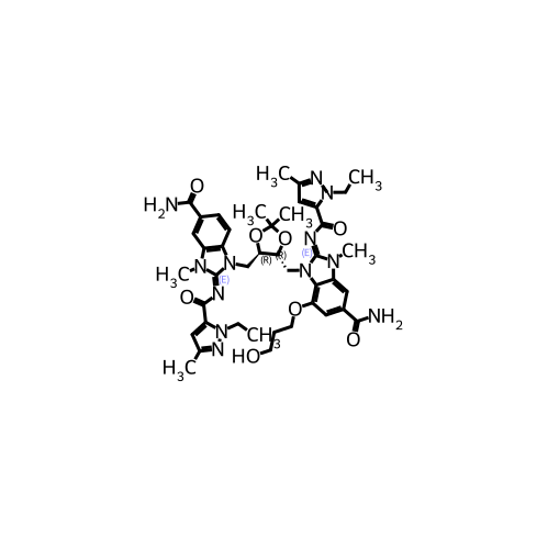 CCn1nc(C)cc1C(=O)/N=c1\n(C)c2cc(C(N)=O)ccc2n1C[C@H]1OC(C)(C)O[C@@H]1Cn1/c(=N/C(=O)c2cc(C)nn2CC)n(C)c2cc(C(N)=O)cc(OCCCO)c21